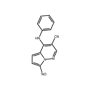 N#Cc1cnn2c(N=O)ccc2c1Nc1ccccc1